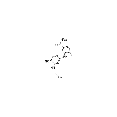 CNC(=O)c1ccc(C)c(Nc2ncc(C#N)c(NCCC(C)(C)C)n2)c1